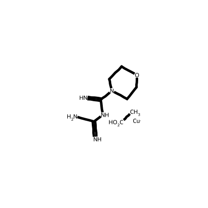 CC(=O)O.N=C(N)NC(=N)N1CCOCC1.[Cu]